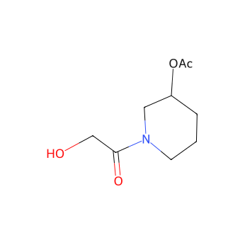 CC(=O)OC1CCCN(C(=O)CO)C1